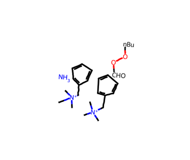 CCCCOOC=O.C[N+](C)(C)Cc1ccccc1.C[N+](C)(C)Cc1ccccc1.N